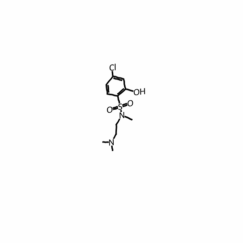 CN(C)CCN(C)S(=O)(=O)c1ccc(Cl)cc1O